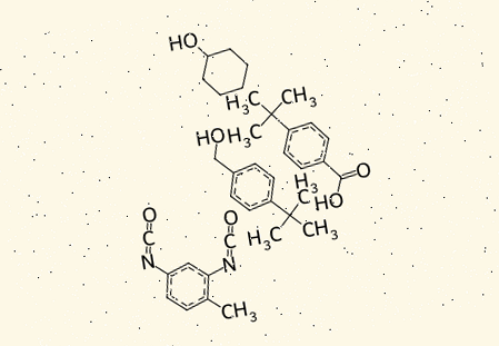 CC(C)(C)c1ccc(C(=O)O)cc1.CC(C)(C)c1ccc(CO)cc1.Cc1ccc(N=C=O)cc1N=C=O.OC1CCCCC1